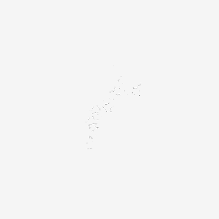 Cc1c(COc2cc(OCc3cncc(C#N)c3)c(CNCCCC(=O)O)cc2Cl)cccc1-c1cccc(-c2ccc3sc(CNCCCC(=O)O)nc3c2)c1C